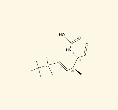 C[C@@H](/C=C/[Si](C)(C)C(C)(C)C)[C@@H](C=O)NC(=O)O